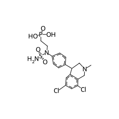 CN1Cc2c(Cl)cc(Cl)cc2C(c2ccc(N(CCP(=O)(O)O)S(N)(=O)=O)cc2)C1